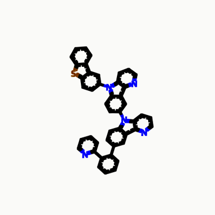 c1ccc(-c2ccccc2-c2ccc3c(c2)c2ncccc2n3-c2ccc3c(c2)c2ncccc2n3-c2ccc3sc4ccccc4c3c2)nc1